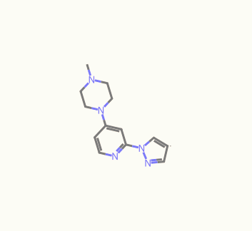 CN1CCN(c2ccnc(-n3c[c]cn3)c2)CC1